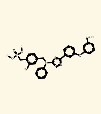 O=C(O)c1cccc(Oc2cccc(-c3nnc(N(Cc4ccc(CP(=O)(OF)OF)c(Br)c4)c4ccccc4)s3)c2)c1